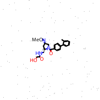 CO/N=C1\C[C@@H](CNC(=O)CO)N(C(=O)c2ccc(-c3ccccc3C)cc2)C1